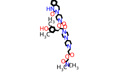 Cc1cc(C[C@@H](OC(=O)N2CCC(N3CCc4ccccc4NC3=O)CC2)C(=O)N2CCN(C3CCN(CCC(=O)OCC(=O)N(C)C)CC3)CC2)cc(C)c1O